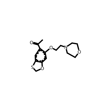 CC(=O)c1cc2c(cc1OCCN1CCOCC1)OCS2